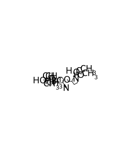 CC(C)(C)OC(=O)N1CCCC(COc2ccc(BOC(C)(C)C(C)(C)O)cc2C#N)C1